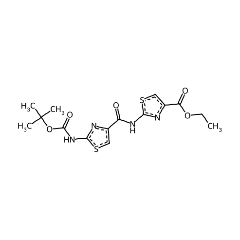 CCOC(=O)c1csc(NC(=O)c2csc(NC(=O)OC(C)(C)C)n2)n1